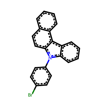 Brc1ccc(-n2c3ccccc3c3c4ccccc4ccc32)cc1